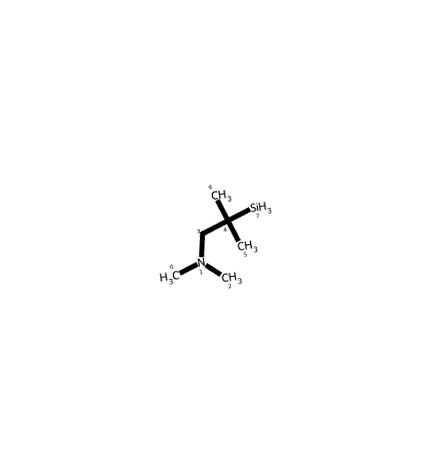 CN(C)CC(C)(C)[SiH3]